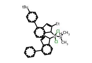 CCC1=Cc2c(-c3ccc(C(C)(C)C)cc3)cccc2[CH]1[Zr]([Cl])([Cl])([CH]1C=Cc2c(-c3ccccc3)cccc21)[SiH](C)C